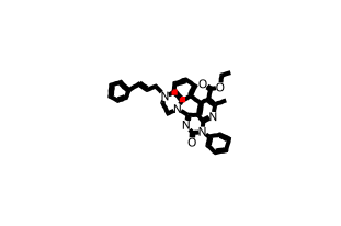 CCOC(=O)c1c(C)nc2c(c(N3CCN(C/C=C/c4ccccc4)CC3)nc(=O)n2-c2ccccc2)c1-c1ccccc1